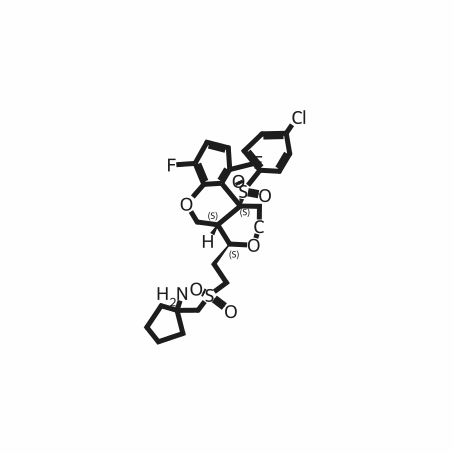 NC1(CS(=O)(=O)CC[C@@H]2OCC[C@@]3(S(=O)(=O)c4ccc(Cl)cc4)c4c(F)ccc(F)c4OC[C@@H]23)CCCC1